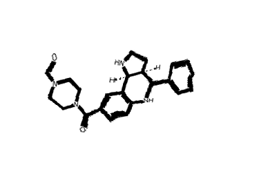 O=CN1CCN(C(=O)c2ccc3c(c2)[C@H]2NCC[C@H]2C(c2ccccc2)N3)CC1